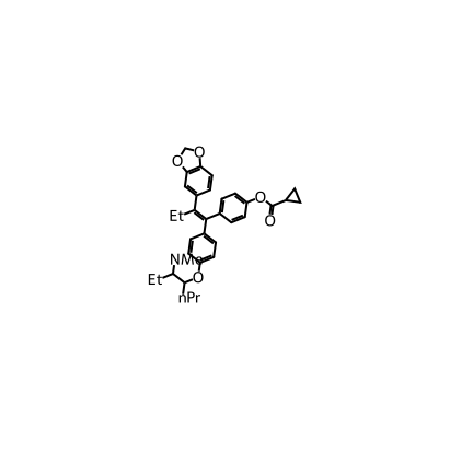 CCCC(Oc1ccc(C(=C(CC)c2ccc3c(c2)OCO3)c2ccc(OC(=O)C3CC3)cc2)cc1)C(CC)NC